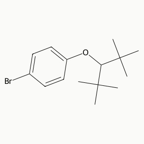 CC(C)(C)C(Oc1ccc(Br)cc1)C(C)(C)C